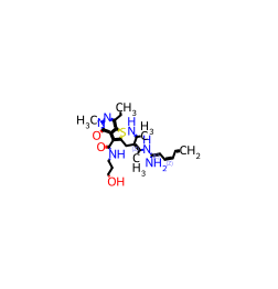 C=C/C=C\C=C(/N)N/C(C)=C(/Cc1sc2c(CC)nn(C)c(=O)c2c1C(=O)NCCCO)C(C)=N